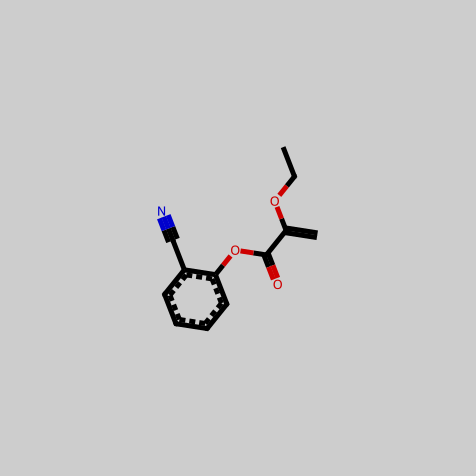 C=C(OCC)C(=O)Oc1ccccc1C#N